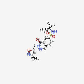 Cc1cc(Cn2ncc3ccc(S(=O)(=O)NC4(C)CC4)cc3c2=O)on1